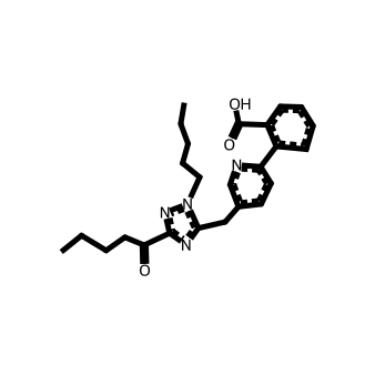 CCCCCn1nc(C(=O)CCCC)nc1Cc1ccc(-c2ccccc2C(=O)O)nc1